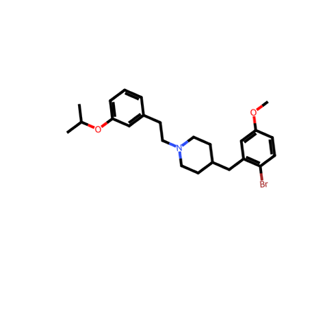 COc1ccc(Br)c(CC2CCN(CCc3cccc(OC(C)C)c3)CC2)c1